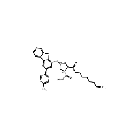 C=CCCCCCCC(=O)N1C[C@H](Oc2nc(-c3ccc(C(F)(F)F)cc3)nc3c2oc2ccccc23)C[C@H]1C(=O)OC